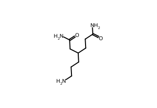 NCCCC(CCC(N)=O)CC(N)=O